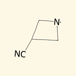 N#CC1C[N]C1